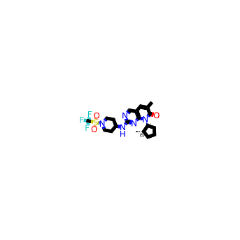 Cc1cc2cnc(NC3CCN(S(=O)(=O)C(F)(F)F)CC3)nc2n([C@@H]2CCC[C@@H]2C)c1=O